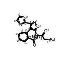 CC(C)(C)CC(=O)Nc1onc(-c2nccs2)c1-c1ccccc1C(N)=O